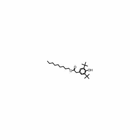 CCCCCCCCCOC(=O)Cc1cc(C(C)(C)C)c(O)c(C(C)(C)C)c1